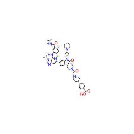 Cc1cc(F)c(Nc2nc(-c3ccc4c(c3)N(C3CC(N5CCCCC5)C3)C(=O)C43CCN(C(=O)CN4CCC(c5ccc(C(=O)O)cc5)CC4)CC3)cc3ncn(C(C)C)c23)cc1C(=O)NC(C)C